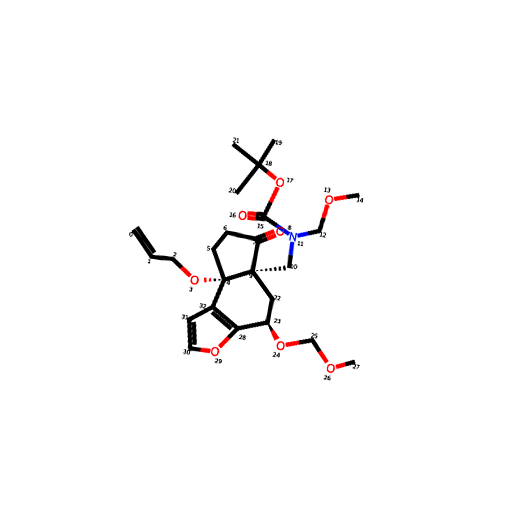 C=CCO[C@]12CCC(=O)[C@@]1(CN(COC)C(=O)OC(C)(C)C)C[C@@H](OCOC)c1occc12